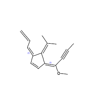 C=C/C=C1C=C/C(=C(/C#CC)OC)C/1=C(C)C